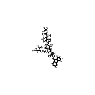 COCCOCCOC[C@@H](CN(CC(=O)OCCI)C(=O)Cn1cnc2c(NC(=O)OC(C)(C)C)ncnc21)NC(=O)OCC1c2ccccc2-c2ccccc21